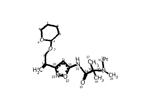 C=C(COC1CCCCO1)c1cc(NC(=O)C(C)(C)N(C)C(C)C)on1